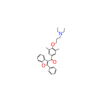 CCN(CC)CCCOc1c(C)cc(C(=O)c2c(-c3ccccc3)oc3ccccc23)cc1C